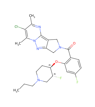 CCCN1CC[C@@H](Oc2cc(F)ccc2C(=O)N2Cc3nn4c(C)c(Cl)c(C)nc4c3C2)[C@H](F)C1